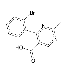 Cc1ncc(C(=O)O)c(-c2ccccc2Br)n1